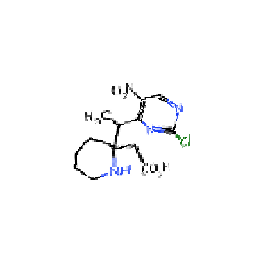 CC(c1nc(Cl)ncc1[N+](=O)[O-])C1(CC(=O)O)CCCCN1